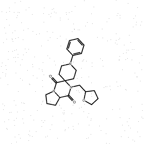 O=C1C2CCCN2C(=O)C2(CCN(c3ccccc3)CC2)N1CC1CCCO1